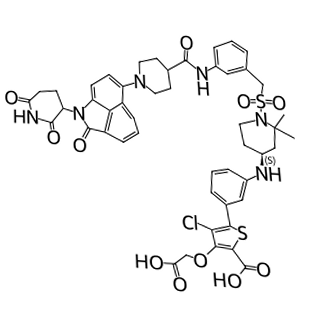 CC1(C)C[C@@H](Nc2cccc(-c3sc(C(=O)O)c(OCC(=O)O)c3Cl)c2)CCN1S(=O)(=O)Cc1cccc(NC(=O)C2CCN(c3ccc4c5c(cccc35)C(=O)N4C3CCC(=O)NC3=O)CC2)c1